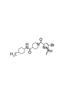 CC1CCC(NC(=O)C2CCN(C(=O)c3cc(Br)n(PI)n3)CC2)CC1